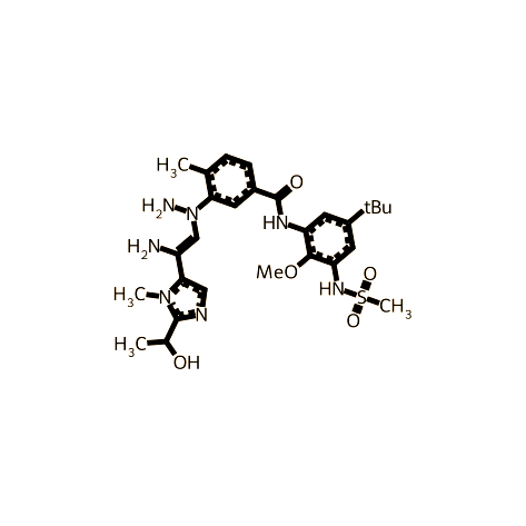 COc1c(NC(=O)c2ccc(C)c(N(N)/C=C(\N)c3cnc(C(C)O)n3C)c2)cc(C(C)(C)C)cc1NS(C)(=O)=O